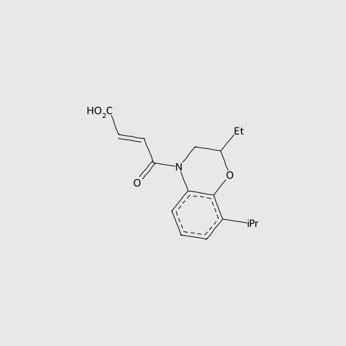 CCC1CN(C(=O)/C=C/C(=O)O)c2cccc(C(C)C)c2O1